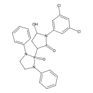 O=C1C(P2(=O)N(c3ccccc3)CCN2c2ccccc2)CC(O)N1c1cc(Cl)cc(Cl)c1